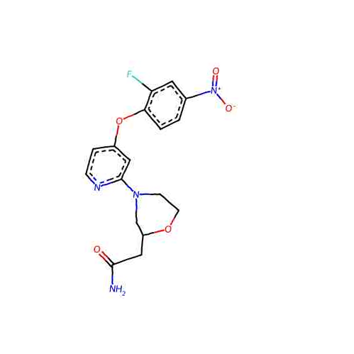 NC(=O)CC1CN(c2cc(Oc3ccc([N+](=O)[O-])cc3F)ccn2)CCO1